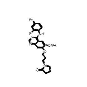 COc1cc2c(Nc3ccc(Br)cc3F)ncnc2cc1OCCCN1CCCC1=O